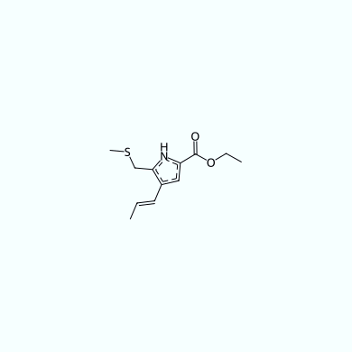 C/C=C/c1cc(C(=O)OCC)[nH]c1CSC